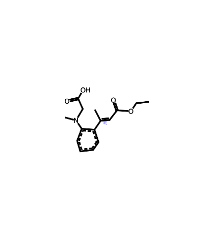 CCOC(=O)/C=C(\C)c1ccccc1N(C)CC(=O)O